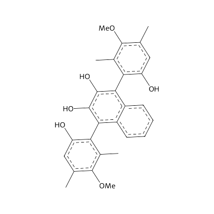 COc1c(C)cc(O)c(-c2c(O)c(O)c(-c3c(O)cc(C)c(OC)c3C)c3ccccc23)c1C